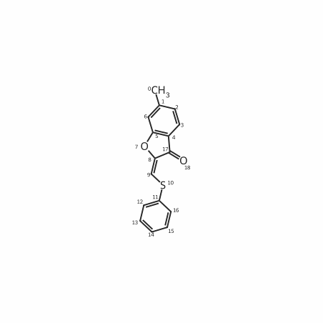 Cc1ccc2c(c1)O/C(=C/Sc1ccccc1)C2=O